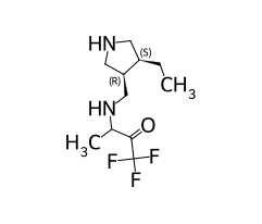 CC[C@@H]1CNC[C@@H]1CNC(C)C(=O)C(F)(F)F